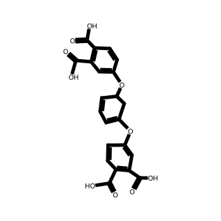 O=C(O)c1ccc(O[C]2C=CC=C(Oc3ccc(C(=O)O)c(C(=O)O)c3)C2)cc1C(=O)O